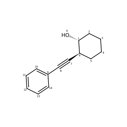 O[C@@H]1CCCC[C@H]1C#Cc1ccccc1